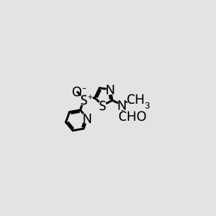 CN(C=O)c1ncc([S+]([O-])c2ccccn2)s1